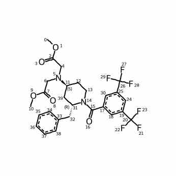 COC(=O)CN(CC(=O)OC)[C@H]1CCN(C(=O)c2cc(C(F)(F)F)cc(C(F)(F)F)c2)[C@H](Cc2ccccc2)C1